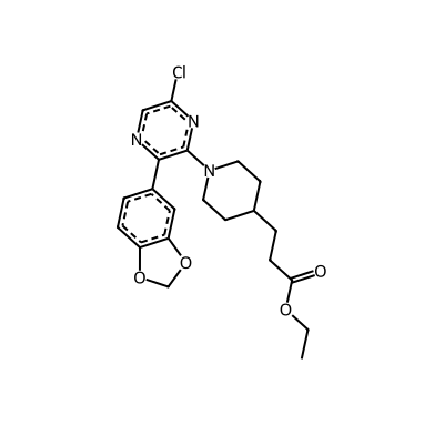 CCOC(=O)CCC1CCN(c2nc(Cl)cnc2-c2ccc3c(c2)OCO3)CC1